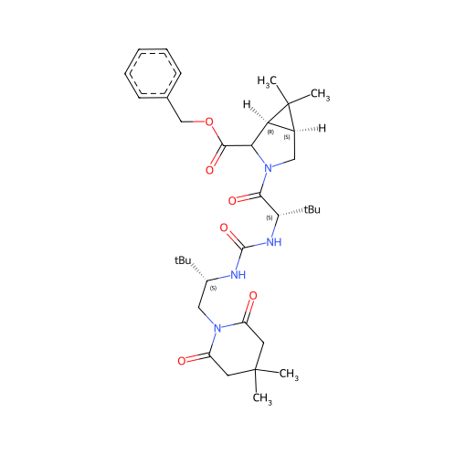 CC1(C)CC(=O)N(C[C@@H](NC(=O)N[C@H](C(=O)N2C[C@H]3[C@@H](C2C(=O)OCc2ccccc2)C3(C)C)C(C)(C)C)C(C)(C)C)C(=O)C1